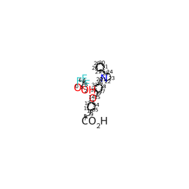 O=C(O)C(F)(F)F.O=C(O)CCc1ccc(OCc2ccc(CN3CCCC3c3ccccc3)cc2)cc1